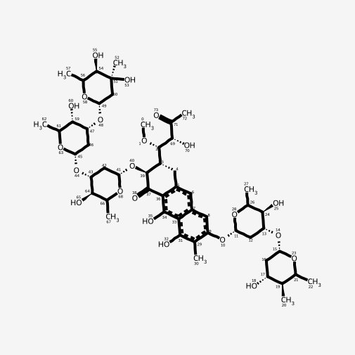 CO[C@@H]([C@@H]1Cc2cc3cc(O[C@H]4C[C@@H](O[C@H]5C[C@@H](O)[C@H](C)C(C)O5)[C@H](O)C(C)O4)c(C)c(O)c3c(O)c2C(=O)[C@H]1O[C@H]1C[C@@H](O[C@H]2C[C@@H](O[C@H]3C[C@](C)(O)[C@H](O)C(C)O3)[C@@H](O)C(C)O2)[C@H](O)C(C)O1)[C@@H](O)C(C)=O